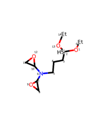 CCO[SiH](CCCN(C1CO1)C1CO1)OCC